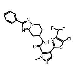 Cn1ncc(-c2nc(C(F)F)c(Cl)s2)c1C(=O)NC1CCn2nc(-c3ccccc3)nc2C1